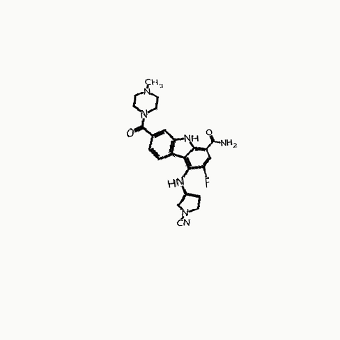 CN1CCN(C(=O)c2ccc3c(c2)[nH]c2c(C(N)=O)cc(F)c(NC4CCN(C#N)C4)c23)CC1